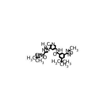 Cc1nc(-c2cc(C(=O)Nc3cnc(C)c(-n4cc(C(=O)NCC(C)(C)C)nn4)c3)cc(C(C)(C)C)c2)no1